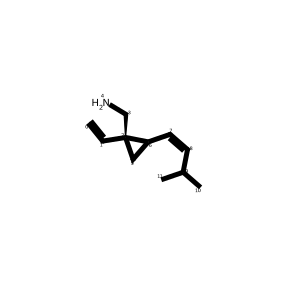 C=C[C@@]1(CN)CC1/C=C\C(C)C